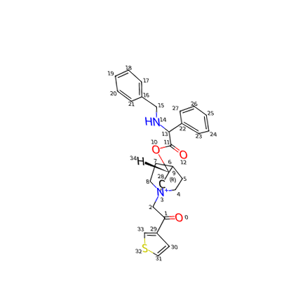 O=C(C[N+]12CCC(CC1)[C@@H](OC(=O)C(NCc1ccccc1)c1ccccc1)C2)c1ccsc1